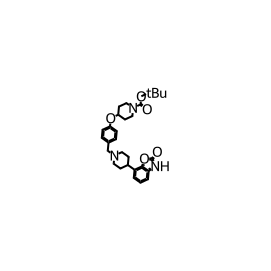 CC(C)(C)OC(=O)N1CCC(Oc2ccc(CN3CCC(c4cccc5[nH]c(=O)oc45)CC3)cc2)CC1